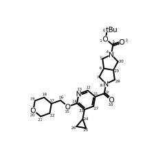 CC(C)(C)OC(=O)N1CC2CN(C(=O)c3cnc(OCC4CCOCC4)c(C4CC4)c3)CC2C1